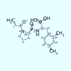 C=CC(=O)N1CCC[C@@H]1C(=O)NC(Cc1ccc(C)cc1C)B(O)O